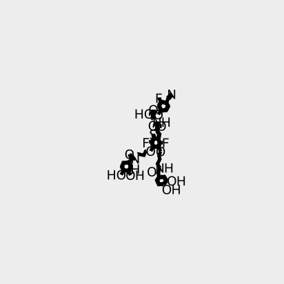 N#Cc1ccc(OP(=O)(O)CNS(=O)(=O)c2cc3c(F)c(OCCCNC(=O)c4ccc(O)c(O)c4)c(OCCCNC(=O)c4ccc(O)c(O)c4)c(F)c3s2)cc1F